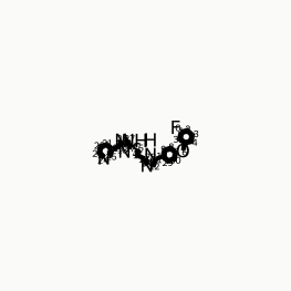 Fc1cccc(Oc2ccc(-c3cnc(CSc4nc(-c5cccnc5)n[nH]4)[nH]3)cc2)c1